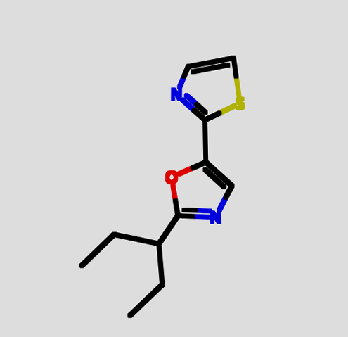 CCC(CC)c1ncc(-c2nccs2)o1